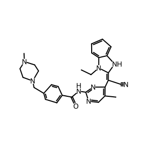 CCN1C(=C(C#N)c2nc(NC(=O)c3ccc(CN4CCN(C)CC4)cc3)ncc2C)Nc2ccccc21